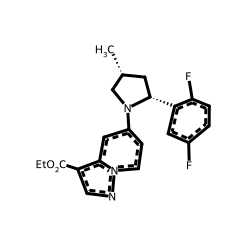 CCOC(=O)c1cnn2ccc(N3C[C@H](C)C[C@@H]3c3cc(F)ccc3F)cc12